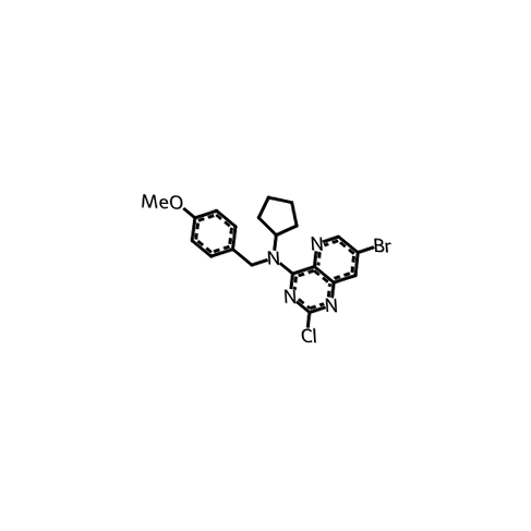 COc1ccc(CN(c2nc(Cl)nc3cc(Br)cnc23)C2CCCC2)cc1